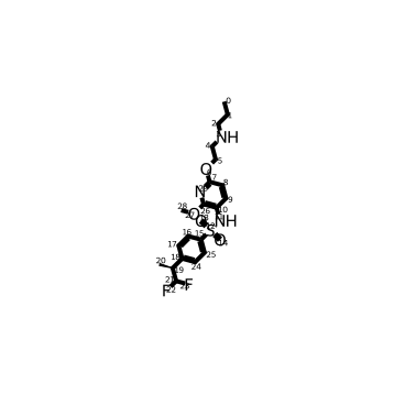 CCCNCCOc1ccc(NS(=O)(=O)c2ccc([C@H](C)C(F)F)cc2)c(OC)n1